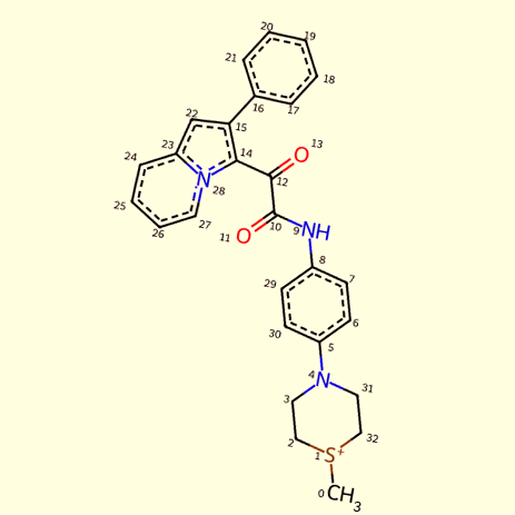 C[S+]1CCN(c2ccc(NC(=O)C(=O)c3c(-c4ccccc4)cc4ccccn34)cc2)CC1